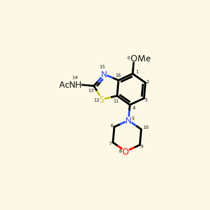 COc1ccc(N2CCOCC2)c2sc(NC(C)=O)nc12